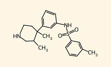 Cc1cccc(S(=O)(=O)Nc2cccc(C3(C)CCNCC3C)c2)c1